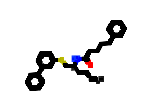 O=C(O)CC[C@@H](CSc1cccc(-c2ccccc2)c1)NC(=O)CCCCc1ccccc1